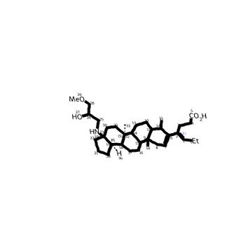 CC/C=C(\CCC(=O)O)C1=CCC2(C)C(CCC3C2CCC2[C@H]4CCCC4(NCC(O)COC)CC[C@@]32C)C1C